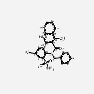 NS(=O)(=O)c1cc(Br)ccc1N(Cc1ccccc1)C(=O)c1c(O)c2cccnc2[nH]c1=O